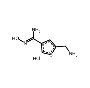 Cl.NCc1cc(C(N)=NO)cs1